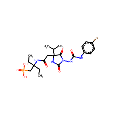 CCC(CC)(CP(=O)(O)O)NC(=O)CC1(C(C)C)NC(=O)N(NC(=O)Nc2ccc(Br)cc2)C1=O